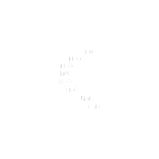 O.O.O.O.[CsH].[KH].[LiH].[NaH]